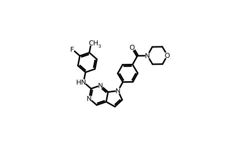 Cc1ccc(Nc2ncc3ccn(-c4ccc(C(=O)N5CCOCC5)cc4)c3n2)cc1F